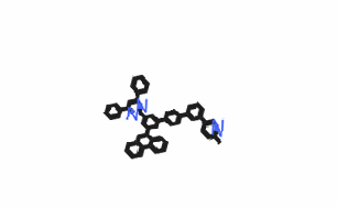 Cc1ccc(-c2cccc(-c3ccc(-c4cc(-c5nc(-c6ccccc6)cc(-c6ccccc6)n5)cc(-c5cc6ccccc6c6ccccc56)c4)cc3)c2)cn1